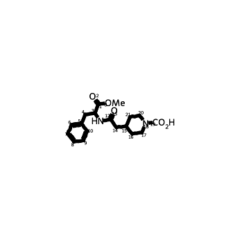 COC(=O)C(Cc1ccccc1)NC(=O)CC1CCN(C(=O)O)CC1